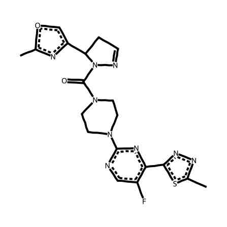 Cc1nc(C2CC=NN2C(=O)N2CCN(c3ncc(F)c(-c4nnc(C)s4)n3)CC2)co1